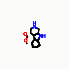 COC=O.c1ccc2c3c([nH]c2c1)CNCC3